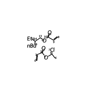 C=CC(=O)OC(C)Cl.C=CC(=O)OCC(CC)CCCC